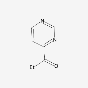 CCC(=O)c1ccncn1